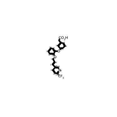 O=C(O)Cc1cccc(Oc2ccccc2OC/C=C/c2ccc(C(F)(F)F)nc2)c1